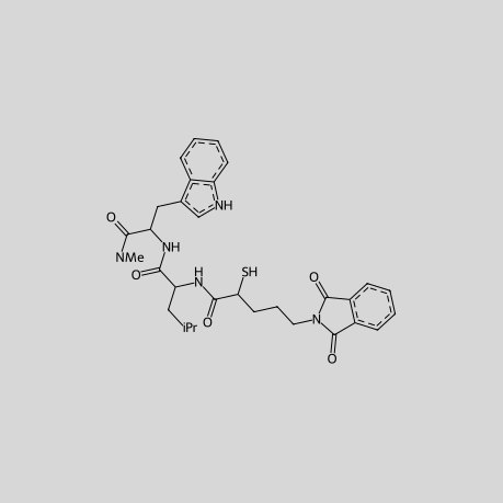 CNC(=O)C(Cc1c[nH]c2ccccc12)NC(=O)C(CC(C)C)NC(=O)C(S)CCCN1C(=O)c2ccccc2C1=O